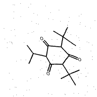 CC(C)C1C(=O)C(C(C)(C)C)C(=O)C(C(C)(C)C)C1=O